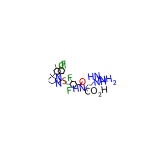 Cc1cc(C2(C)CCCc3nc(SCc4c(F)cc(C(=O)N[C@@H](CCCNC(=N)N)C(=O)O)cc4F)n(-c4ccc(F)cc4)c32)ccc1Cl